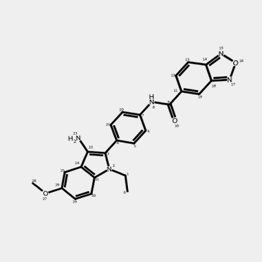 CCn1c(-c2ccc(NC(=O)c3ccc4nonc4c3)cc2)c(N)c2cc(OC)ccc21